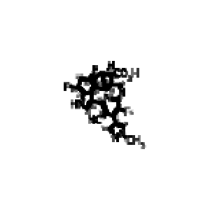 Cn1cc(-c2c(F)c(/N=C\C3C4CCC(CC4)[C@H]3C(=O)O)nc(-c3c[nH]c4c(F)cc(F)cc34)c2C#N)cn1